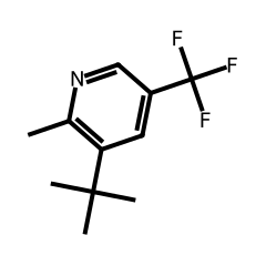 Cc1ncc(C(F)(F)F)cc1C(C)(C)C